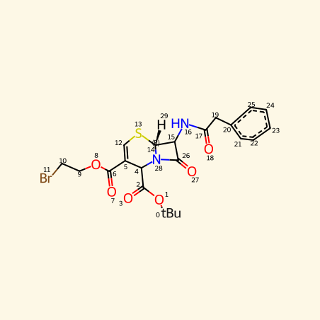 CC(C)(C)OC(=O)C1C(C(=O)OCCBr)=CS[C@@H]2C(NC(=O)Cc3ccccc3)C(=O)N12